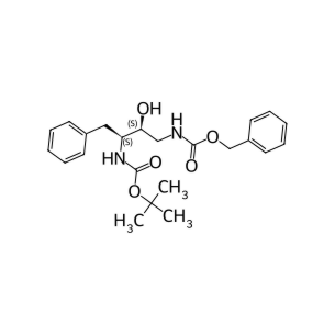 CC(C)(C)OC(=O)N[C@@H](Cc1ccccc1)[C@@H](O)CNC(=O)OCc1ccccc1